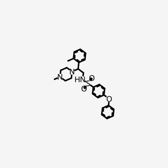 Cc1ccccc1C(CNS(=O)(=O)c1ccc(Oc2ccccc2)cc1)N1CCN(C)CC1